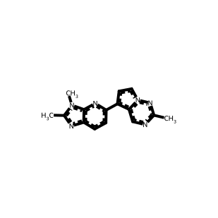 Cc1ncc2c(-c3ccc4nc(C)n(C)c4n3)ccn2n1